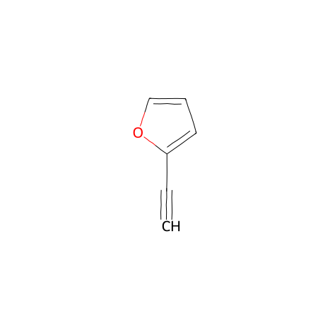 C#Cc1ccco1